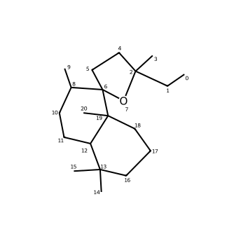 CCC1(C)CCC2(O1)C(C)CCC1C(C)(C)CCCC12C